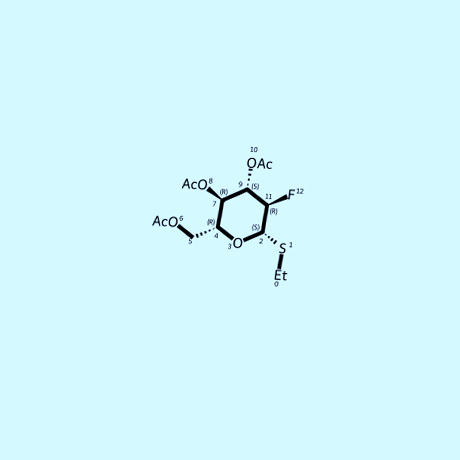 CCS[C@@H]1O[C@H](COC(C)=O)[C@@H](OC(C)=O)[C@H](OC(C)=O)[C@H]1F